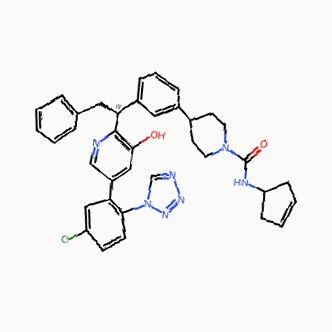 O=C(NC1CC=CC1)N1CCC(c2cccc([C@H](Cc3ccccc3)c3ncc(-c4cc(Cl)ccc4-n4cnnn4)cc3O)c2)CC1